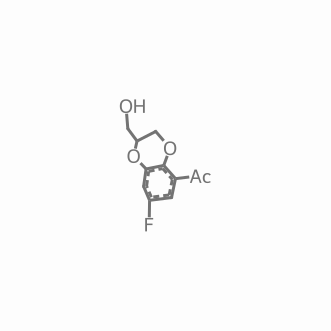 CC(=O)c1cc(F)cc2c1OCC(CO)O2